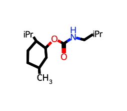 CC(C)CNC(=O)OC1CC(C)CCC1C(C)C